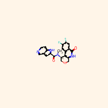 CN(C(=O)c1cc2cnccc2[nH]1)[C@@H]1COCc2[nH]c(=O)c3cc(F)c(F)cc3c21